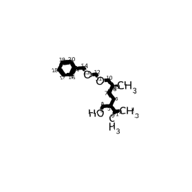 CC(C)C(CO)CC[C@H](C)COCOCc1ccccc1